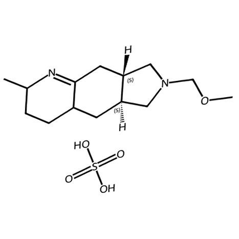 COCN1C[C@H]2CC3=NC(C)CCC3C[C@@H]2C1.O=S(=O)(O)O